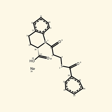 O=C(SCCC(=O)N1c2ccccc2CC[C@H]1C(=O)O)c1ccccc1.[Na]